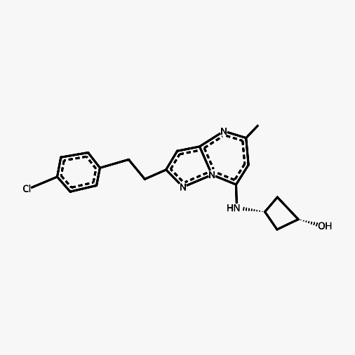 Cc1cc(N[C@H]2C[C@@H](O)C2)n2nc(CCc3ccc(Cl)cc3)cc2n1